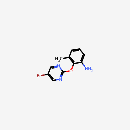 Cc1cccc(N)c1Oc1ncc(Br)cn1